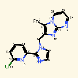 CCc1c(Cn2ccnc2-c2cccc(Cl)n2)nc2ncccn12